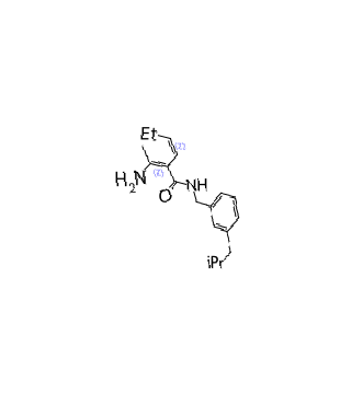 CC/C=C\C(C(=O)NCc1cccc(CC(C)C)c1)=C(/C)N